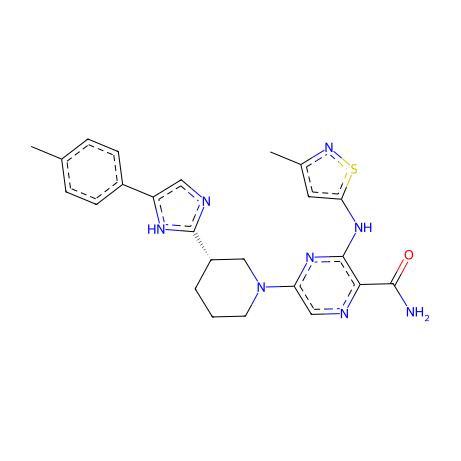 Cc1ccc(-c2cnc([C@H]3CCCN(c4cnc(C(N)=O)c(Nc5cc(C)ns5)n4)C3)[nH]2)cc1